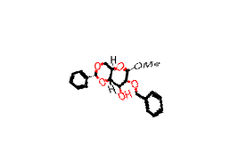 CO[C@H]1O[C@@H]2CO[C@@H](c3ccccc3)O[C@H]2[C@H](O)[C@@H]1OCc1ccccc1